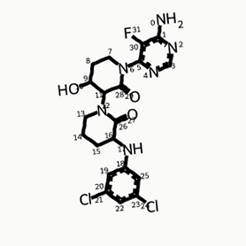 Nc1ncnc(N2CCC(O)C(N3CCCC(Nc4cc(Cl)cc(Cl)c4)C3=O)C2=O)c1F